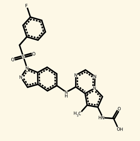 Cc1c(NC(=O)O)cn2ncnc(Nc3ccc4c(cnn4S(=O)(=O)Cc4cccc(F)c4)c3)c12